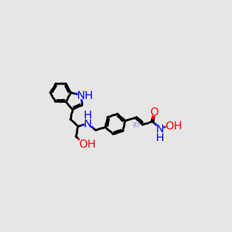 O=C(/C=C/c1ccc(CNC(CO)Cc2c[nH]c3ccccc23)cc1)NO